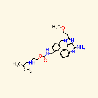 C=C(C)CNCCOC(=O)NCc1ccc(Cn2c(CCOC)nc3c(N)nc4ccccc4c32)cc1